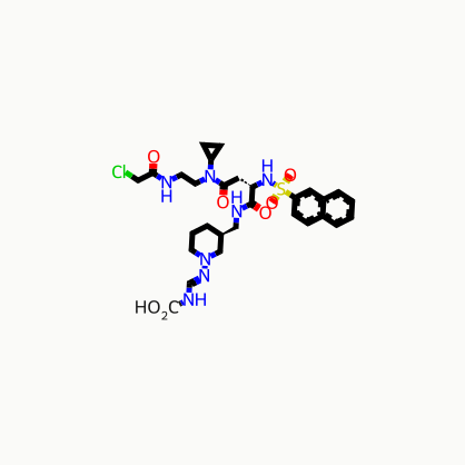 O=C(O)N/C=N/N1CCC[C@@H](CNC(=O)[C@H](CC(=O)N(CCNC(=O)CCl)C2CC2)NS(=O)(=O)c2ccc3ccccc3c2)C1